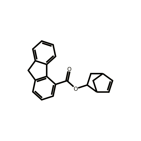 O=C(OC1CC2C=CC1C2)c1cccc2c1-c1ccccc1C2